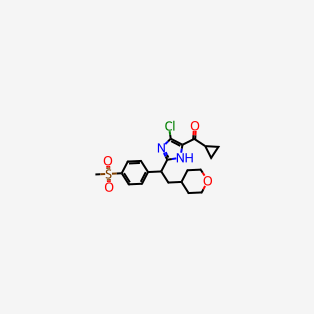 CS(=O)(=O)c1ccc(C(CC2CCOCC2)c2nc(Cl)c(C(=O)C3CC3)[nH]2)cc1